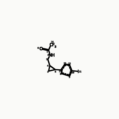 O=C(NCC1CC1c1ccc(I)cc1)C(F)(F)F